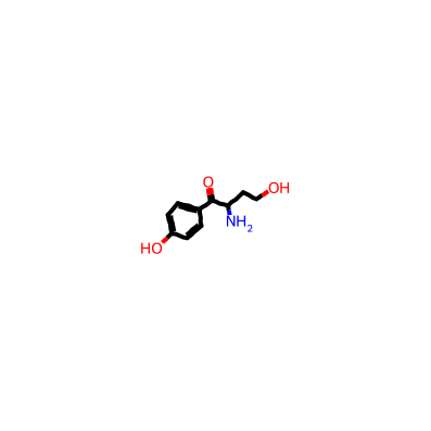 NC(CCO)C(=O)c1ccc(O)cc1